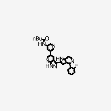 CCCCC(=O)Nc1cncc(-c2cnc3[nH]nc(-c4cc5c(-c6ccccc6F)nccc5[nH]4)c3c2)c1